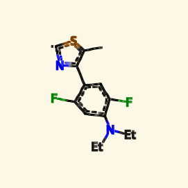 CCN(CC)c1cc(F)c(-c2n[c]sc2C)cc1F